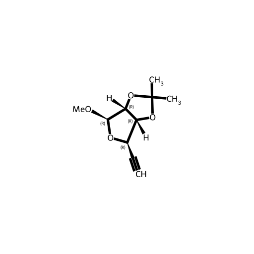 C#C[C@H]1O[C@@H](OC)[C@@H]2OC(C)(C)O[C@@H]21